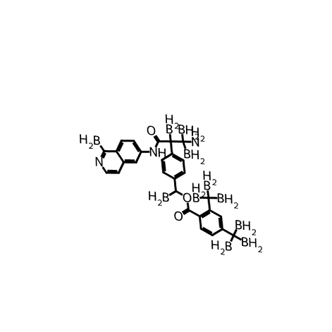 Bc1nccc2cc(NC(=O)C(B)(c3ccc(C(B)OC(=O)c4ccc(C(B)(B)B)cc4C(B)(B)B)cc3)C(B)(B)N)ccc12